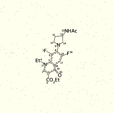 CCOC(=O)c1cn(CC)c2c(F)c(N3CCC(NC(C)=O)C3)c(F)cc2c1=O